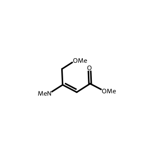 CNC(=CC(=O)OC)COC